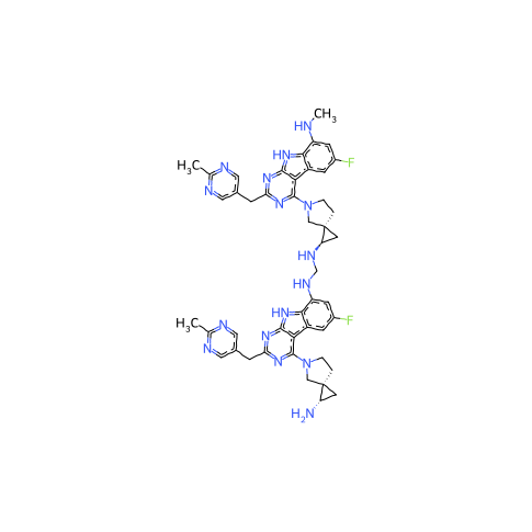 CNc1cc(F)cc2c1[nH]c1nc(Cc3cnc(C)nc3)nc(N3CC[C@@]4(C[C@H]4NCNc4cc(F)cc5c4[nH]c4nc(Cc6cnc(C)nc6)nc(N6CC[C@@]7(C[C@@H]7N)C6)c45)C3)c12